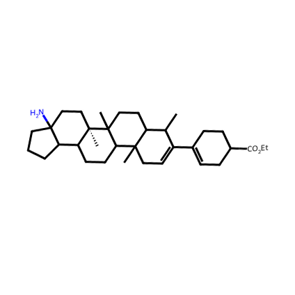 CCOC(=O)C1CC=C(C2=CCC3(C)C(CCC4(C)C3CCC3C5CCCC5(N)CC[C@]34C)C2C)CC1